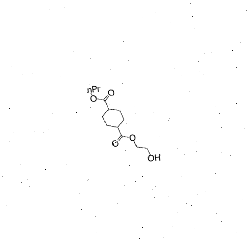 CCCOC(=O)C1CCC(C(=O)OCCO)CC1